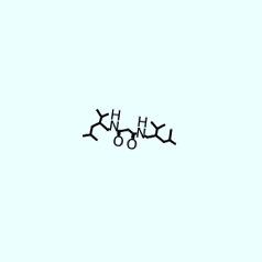 CC(C)CC(CNC(=O)CC(=O)NCC(CC(C)C)C(C)C)C(C)C